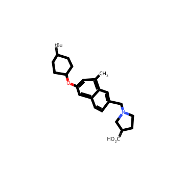 Cc1cc(OC2CCC(C(C)(C)C)CC2)cc2ccc(CN3CCC(C(=O)O)C3)cc12